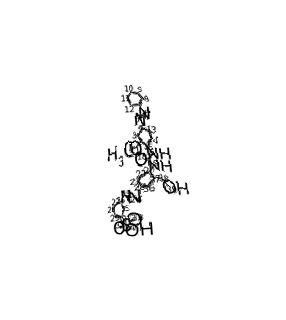 COc1cc(N=Nc2ccccc2)ccc1NC(=O)Nc1ccc(N=Nc2cccc(S(=O)(=O)O)c2)cc1CO